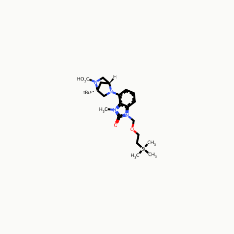 Cn1c(=O)n(COCC[Si](C)(C)C)c2cccc(N3C[C@]4(C(C)(C)C)C[C@@H]3CN4C(=O)O)c21